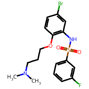 CN(C)CCCOc1ccc(Br)cc1NS(=O)(=O)c1cccc(F)c1